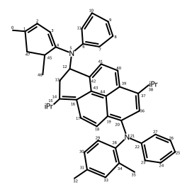 CC1=CC=C(N(c2ccccc2)C2CC(C(C)C)=c3ccc4c(N(c5ccccc5)c5ccc(C)cc5C)cc(C(C)C)c5ccc2c3c54)C(C)C1